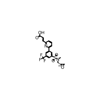 CN(C[C@H]1CO1)S(=O)(=O)c1cc(-c2cccc(C=CC(=O)O)n2)cc(C(F)(F)F)c1